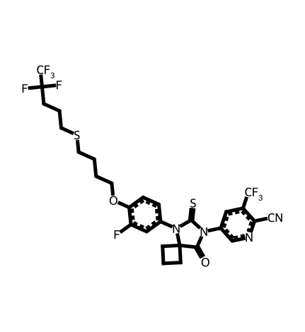 N#Cc1ncc(N2C(=O)C3(CCC3)N(c3ccc(OCCCCSCCCC(F)(F)C(F)(F)F)c(F)c3)C2=S)cc1C(F)(F)F